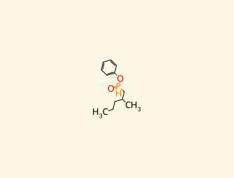 CCCC(C)C[PH](=O)Oc1ccccc1